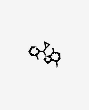 Cc1cccnc1C(C1CC1)n1ccc2c(F)ccc(C)c21